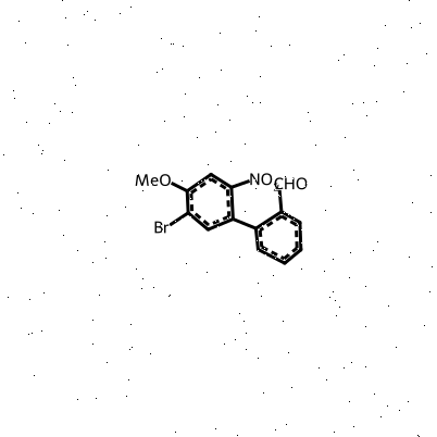 COc1cc([N+](=O)[O-])c(-c2ccccc2C=O)cc1Br